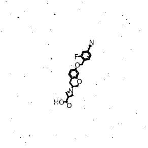 N#Cc1ccc(COc2ccc3c(c2)OCC(N2CC(C(=O)O)C2)C3)c(F)c1